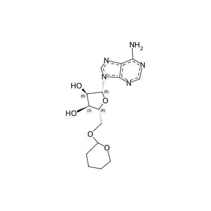 Nc1ncnc2c1ncn2[C@@H]1O[C@H](COC2CCCCO2)[C@@H](O)[C@H]1O